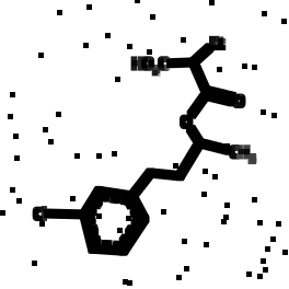 CCC(C(=O)O)C(=O)OC(C)CCc1cccc(Cl)c1